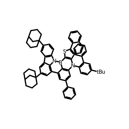 CC(C)(C)c1ccc(N2c3cc(-c4ccccc4)cc4c3B(c3sc5c(ccc6ccccc65)c32)n2c3ccc(C56CCCC(CCC5)C6)cc3c3cc(C56CCCC(CCC5)C6)cc-4c32)c(-c2ccccc2)c1